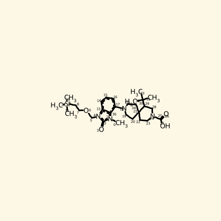 Cn1c(=O)n(COCC[Si](C)(C)C)c2cccc(N3CCC4(CCN(C(=O)O)CC4C(C)(C)C)CC3)c21